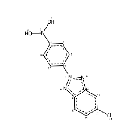 ON(O)c1ccc(-n2nc3ccc(Cl)cc3n2)cc1